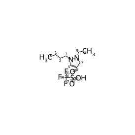 CCCCN1C=CCN1CC.O=S(=O)(O)C(F)(F)F